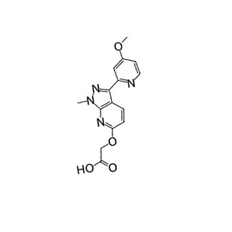 COc1ccnc(-c2nn(C)c3nc(OCC(=O)O)ccc23)c1